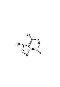 Nc1noc2c(I)cnc(Cl)c12